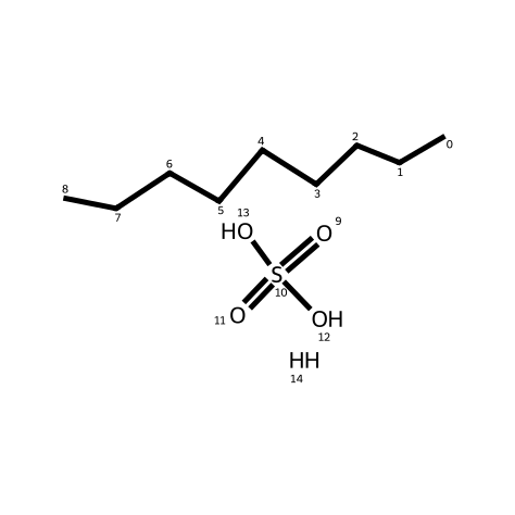 CCCCCCCCC.O=S(=O)(O)O.[HH]